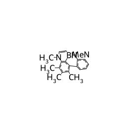 CNc1ccccc1-c1c(C)c(C)c(C)c2c1BC=CN2C